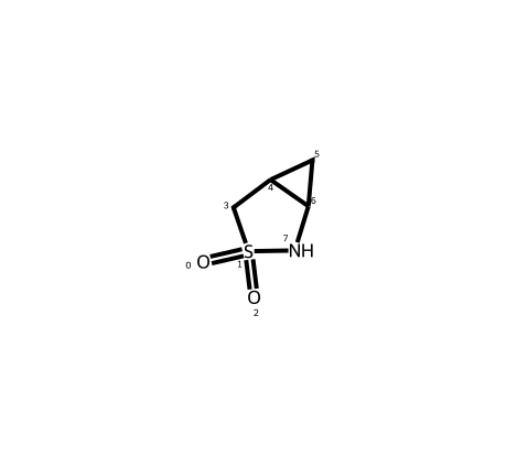 O=S1(=O)CC2CC2N1